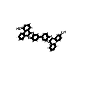 N#Cc1cccc(-c2nc3ccc(-c4ccc5nc(-c6ccccc6)c(-c6cccc(C#N)c6)nc5c4)cc3nc2-c2ccccc2)c1